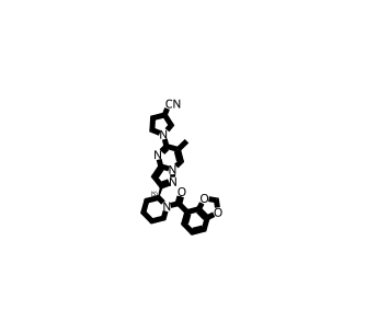 Cc1cn2nc([C@@H]3CCCCN3C(=O)c3cccc4c3OCO4)cc2nc1N1CCC(C#N)C1